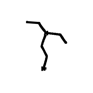 CCN(CC)CC[N]